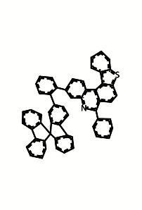 c1ccc(-c2nc3cc(-c4ccccc4-c4ccc5c(c4)C4(c6ccccc6-c6ccccc64)c4ccccc4-5)ccc3c3c2ccc2sc4ccccc4c23)cc1